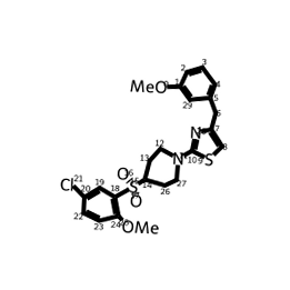 COc1cccc(Cc2csc(N3CCC(S(=O)(=O)c4cc(Cl)ccc4OC)CC3)n2)c1